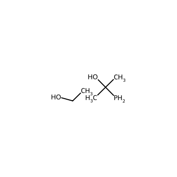 CC(C)(O)P.CCO